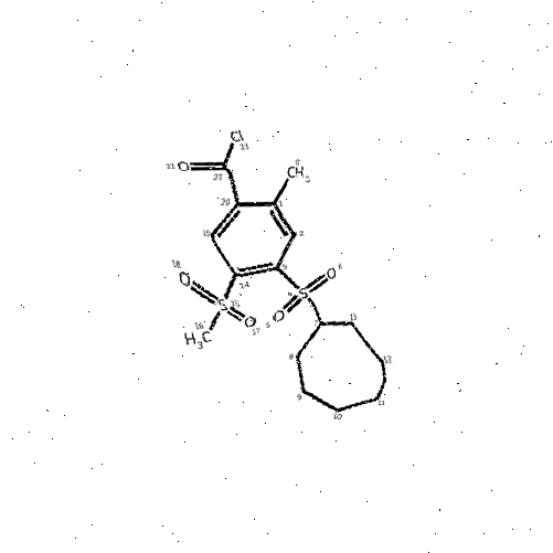 Cc1cc(S(=O)(=O)C2CCCCCC2)c(S(C)(=O)=O)cc1C(=O)Cl